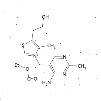 CCOC=O.Cc1ncc(C[n+]2csc(CCO)c2C)c(N)n1